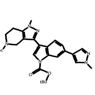 CC(=O)N1CCc2c(c(-c3cn(C(=O)OC(C)(C)C)c4cc(-c5cnn(C)c5)ccc34)nn2C)C1